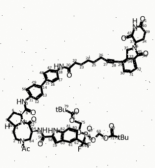 CC(=O)N1CC[C@H]2CC[C@@H](C(=O)Nc3ccc(-c4ccc(NC(=O)CCCCCC#Cc5cccc6c5CN(C5CCC(=O)NC5=O)C6=O)cc4)cc3)N2C(=O)[C@@H](NC(=O)c2cc3cc(C(F)(F)P(=O)(OCOC(=O)C(C)(C)C)OCOC(=O)C(C)(C)C)ccc3[nH]2)C1